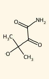 CC(C)([O])C(=O)C(N)=O